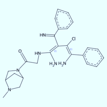 CN1CC2CC1CN2C(=O)CN/C(N)=C(C(=N)c1ccccc1)/C(Cl)=C(\N)c1ccccc1